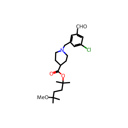 COC(C)(C)CCC(C)(C)OC(=O)C1CCN(Cc2cc(Cl)cc(C=O)c2)CC1